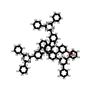 N#Cc1ccc(-n2c3ccccc3c3cc(-c4nc(-c5ccccc5)nc(-c5ccccc5)n4)ccc32)c(-c2cc(-n3c4ccccc4c4cc(-c5nc(-c6ccccc6)nc(-c6ccccc6)n5)ccc43)ccc2-c2nc(-c3ccccc3)cc(-c3ccccc3)n2)c1